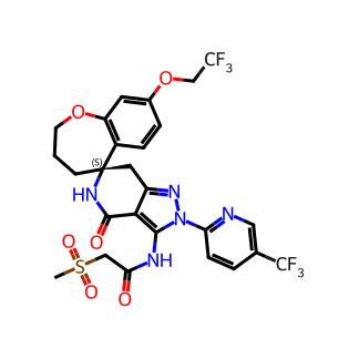 CS(=O)(=O)CC(=O)Nc1c2c(nn1-c1ccc(C(F)(F)F)cn1)C[C@]1(CCCOc3cc(OCC(F)(F)F)ccc31)NC2=O